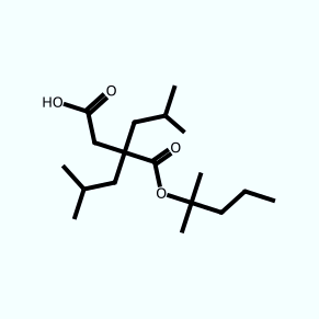 CCCC(C)(C)OC(=O)C(CC(=O)O)(CC(C)C)CC(C)C